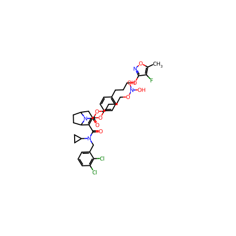 Cc1onc(OCCCc2ccc(OC3=C(C(=O)N(Cc4cccc(Cl)c4Cl)C4CC4)C4CCC(C3)N4C(=O)OCCCCON(O)O)cc2)c1F